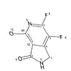 O=C1NCc2c(F)c(F)nc(Cl)c21